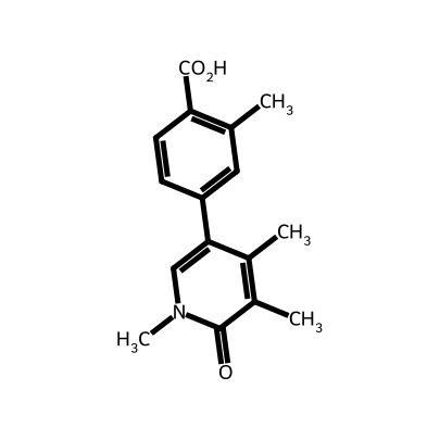 Cc1cc(-c2cn(C)c(=O)c(C)c2C)ccc1C(=O)O